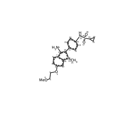 COCCOc1ccc2c(N)c(-c3ccc(NS(=O)(=O)C4CC4)cc3)n(C)c2c1